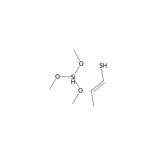 C/C=C/S.CO[SiH](OC)OC